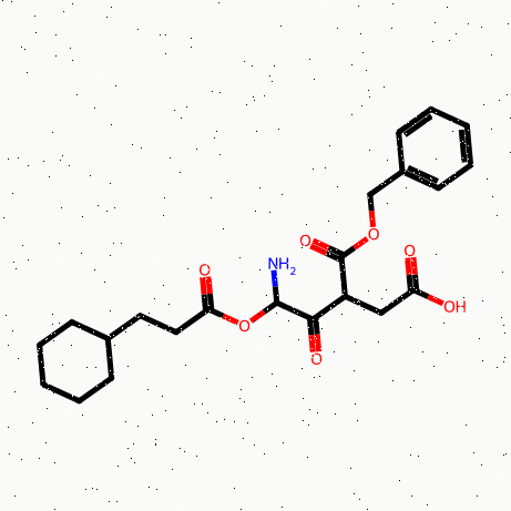 NC(OC(=O)CCC1CCCCC1)C(=O)C(CC(=O)O)C(=O)OCc1ccccc1